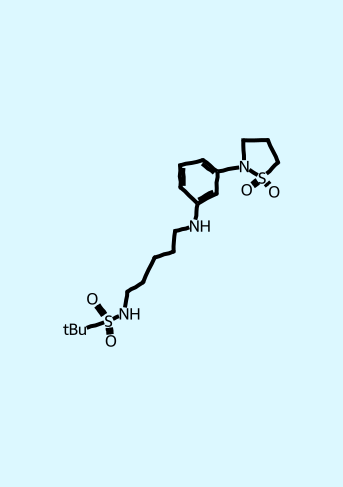 CC(C)(C)S(=O)(=O)NCCCCCNc1cccc(N2CCCS2(=O)=O)c1